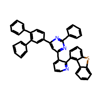 c1ccc(-c2nc(-c3ccc(-c4ccccc4)c(-c4ccccc4)c3)cc(-c3cccnc3-c3cccc4sc5ccccc5c34)n2)cc1